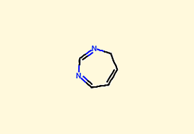 C1=CCN=CN=C1